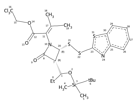 CCC(O[Si](C)(C)C(C)(C)C)[C@@H]1C(=O)N(C(C(=O)OCC(Cl)(Cl)Cl)=C(C)C)[C@@H]1SSc1nc2ccccc2s1